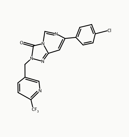 O=c1n(Cc2ccc(C(F)(F)F)nc2)nc2cc(-c3ccc(Cl)cc3)ncn12